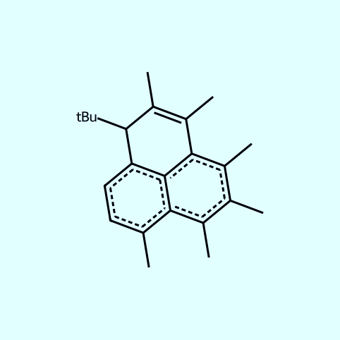 CC1=C(C)C(C(C)(C)C)c2ccc(C)c3c(C)c(C)c(C)c1c23